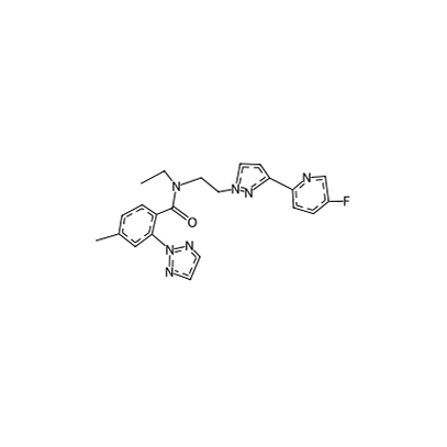 CCN(CCn1ccc(-c2ccc(F)cn2)n1)C(=O)c1ccc(C)cc1-n1nccn1